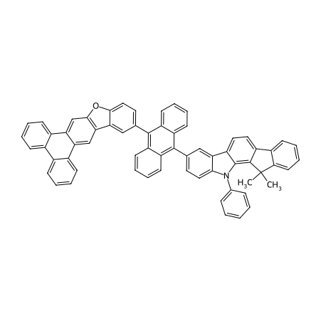 CC1(C)c2ccccc2-c2ccc3c4cc(-c5c6ccccc6c(-c6ccc7oc8cc9c%10ccccc%10c%10ccccc%10c9cc8c7c6)c6ccccc56)ccc4n(-c4ccccc4)c3c21